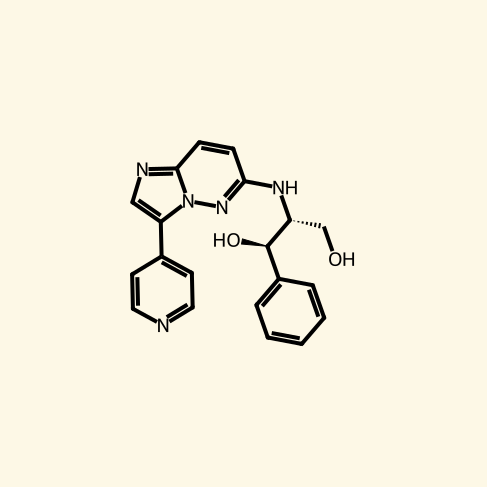 OC[C@@H](Nc1ccc2ncc(-c3ccncc3)n2n1)[C@H](O)c1ccccc1